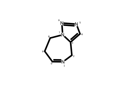 C1=NCc2cnnn2CC1